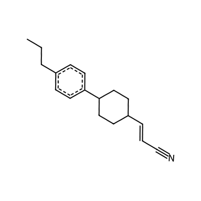 CCCc1ccc(C2CCC(C=CC#N)CC2)cc1